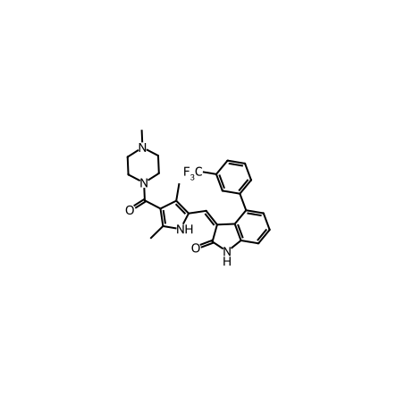 Cc1[nH]c(/C=C2\C(=O)Nc3cccc(-c4cccc(C(F)(F)F)c4)c32)c(C)c1C(=O)N1CCN(C)CC1